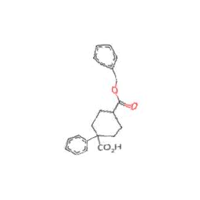 O=C(OCc1ccccc1)C1CCC(C(=O)O)(c2ccccc2)CC1